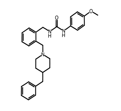 COc1ccc(NC(=O)NCc2ccccc2CN2CCC(Cc3ccccc3)CC2)cc1